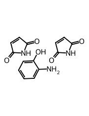 Nc1ccccc1O.O=C1C=CC(=O)N1.O=C1C=CC(=O)N1